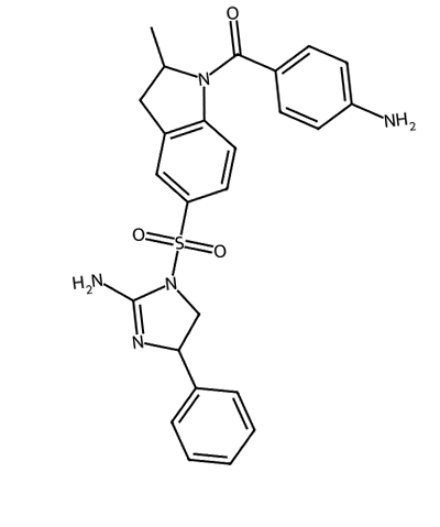 CC1Cc2cc(S(=O)(=O)N3CC(c4ccccc4)N=C3N)ccc2N1C(=O)c1ccc(N)cc1